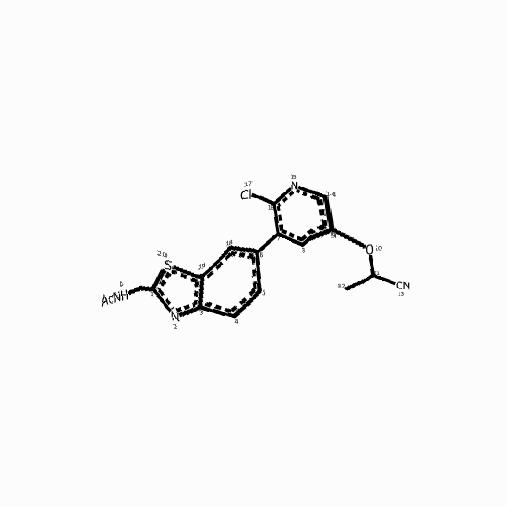 CC(=O)Nc1nc2ccc(-c3cc(OC(C)C#N)cnc3Cl)cc2s1